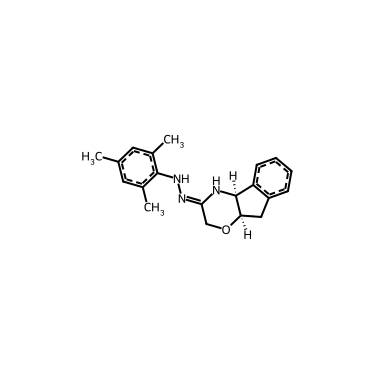 Cc1cc(C)c(N/N=C2/CO[C@@H]3Cc4ccccc4[C@@H]3N2)c(C)c1